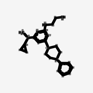 CN(c1cc(N2CCN(c3ccccc3)CC2)nc(NCCO)n1)C1CC1